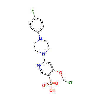 O=S(=O)(O)c1cnc(N2CCN(c3ccc(F)cc3)CC2)cc1OCCl